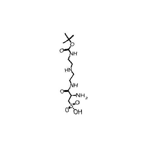 CC(C)(C)OC(=O)NCCNCCNC(=O)[C@@H](N)CS(=O)(=O)O